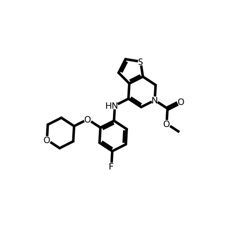 COC(=O)N1C=C(Nc2ccc(F)cc2OC2CCOCC2)c2ccsc2C1